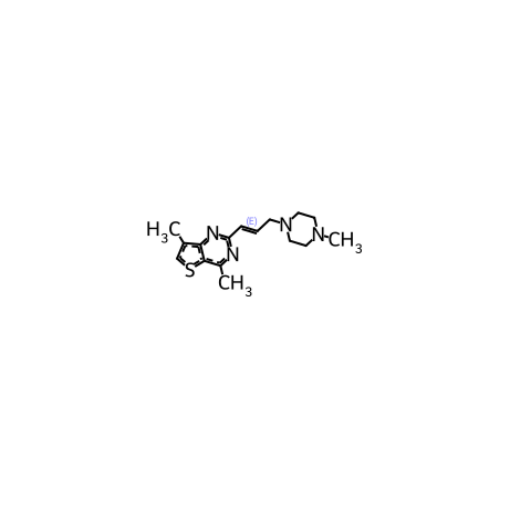 Cc1csc2c(C)nc(/C=C/CN3CCN(C)CC3)nc12